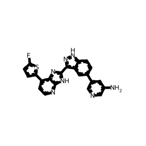 Nc1cncc(-c2ccc3[nH]nc(-c4nc5c(-c6ccc(F)s6)ccnc5[nH]4)c3c2)c1